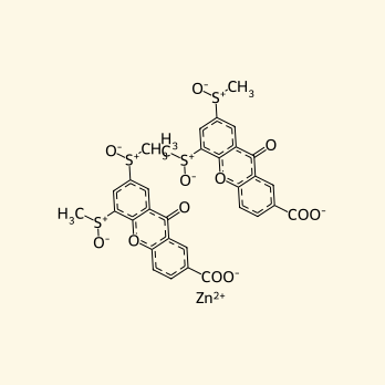 C[S+]([O-])c1cc([S+](C)[O-])c2oc3ccc(C(=O)[O-])cc3c(=O)c2c1.C[S+]([O-])c1cc([S+](C)[O-])c2oc3ccc(C(=O)[O-])cc3c(=O)c2c1.[Zn+2]